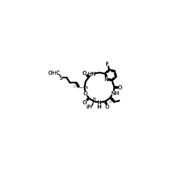 C/C=C1\NC(=O)c2ccc(F)c(n2)CNC(=O)C[C@@H](/C=C/CCSC=O)OC(=O)[C@H](C(C)C)NC1=O